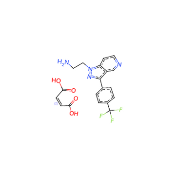 NCCn1nc(-c2ccc(C(F)(F)F)cc2)c2cnccc21.O=C(O)/C=C\C(=O)O